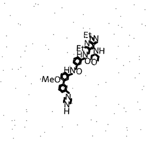 CCc1nc2c(cnn2CC)c(NC2CCOCC2)c1CNC(=O)c1cccc(C(=O)NCc2ccc(OC)c(-c3cccc(CN4CCNCC4)c3)c2)c1